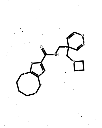 O=C(NCC1(CN2CCC2)C=CON=C1)c1cc2c(s1)CCCCCC2